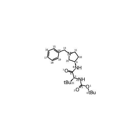 CC(C)(C)OC(=O)N[C@H](C(=O)N[C@@H]1CCN(Cc2ccccc2)C1)C(C)(C)C